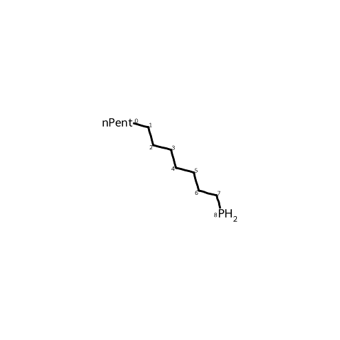 CCCCCCCCCCCCP